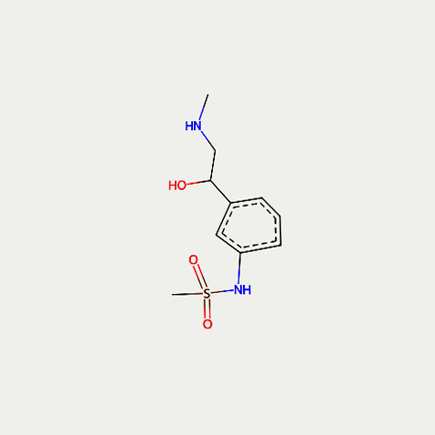 CNCC(O)c1cccc(NS(C)(=O)=O)c1